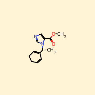 COC(=O)c1cncn1[C@H](C)C1=CCCC=C1